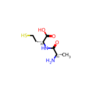 C[C@H](N)C(=O)N[C@H](CCS)C(=O)O